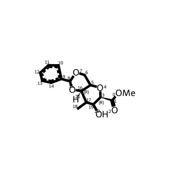 COC(=O)[C@@H]1OC2COC(c3ccccc3)O[C@@H]2C(C)C1O